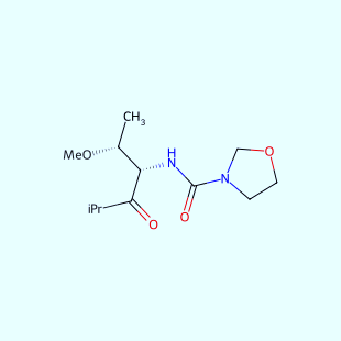 CO[C@H](C)[C@H](NC(=O)N1CCOC1)C(=O)C(C)C